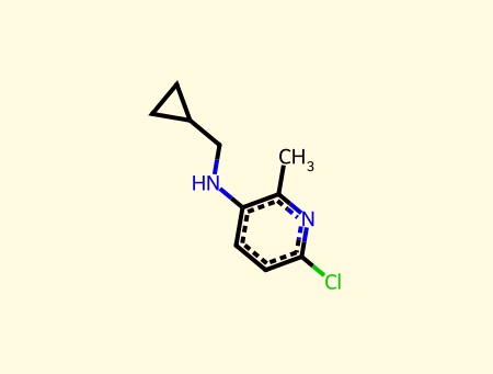 Cc1nc(Cl)ccc1NCC1CC1